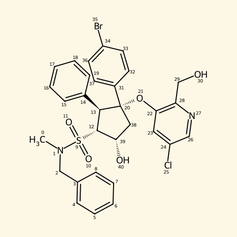 CN(Cc1ccccc1)S(=O)(=O)[C@@H]1[C@@H](c2ccccc2)[C@@](Oc2cc(Cl)cnc2CO)(c2ccc(Br)cc2)C[C@@H]1O